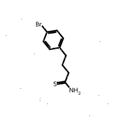 NC(=S)CCCc1ccc(Br)cc1